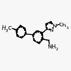 Cc1ccc(-c2ccc(CN)c(-c3ccn(C)n3)c2)cc1